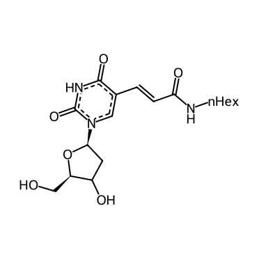 CCCCCCNC(=O)/C=C/c1cn([C@H]2CC(O)[C@@H](CO)O2)c(=O)[nH]c1=O